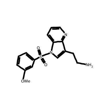 COc1cccc(S(=O)(=O)n2cc(CCN)c3ncccc32)c1